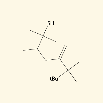 C=C(CC(C)C(C)(C)S)C(C)(C)C(C)(C)C